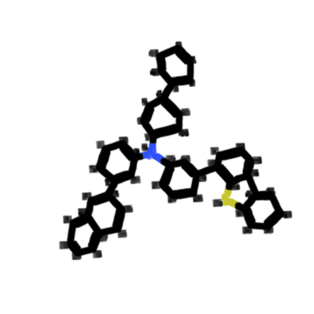 c1ccc(-c2ccc(N(c3cccc(-c4ccc5ccccc5c4)c3)c3cccc(-c4cccc5c4sc4ccccc45)c3)cc2)cc1